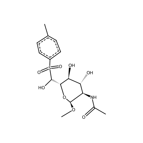 CO[C@H]1O[C@H](C(O)S(=O)(=O)c2ccc(C)cc2)[C@@H](O)[C@H](O)[C@H]1NC(C)=O